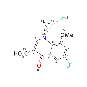 COc1cc(F)cc2c(=O)c(C(=O)O)cn([C@@H]3C[C@@H]3F)c12